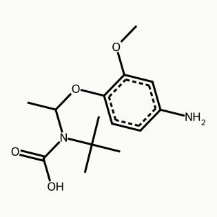 COc1cc(N)ccc1OC(C)N(C(=O)O)C(C)(C)C